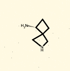 N[C@@H]1CCC12CNC2